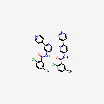 N#Cc1ccc(Cl)c(C(=O)Nc2ccc(-c3ccncc3)nc2)c1.N#Cc1ccc(Cl)c(C(=O)Nc2ccnc(-c3ccncc3)c2)c1